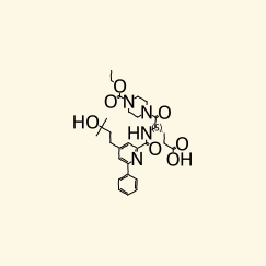 CCOC(=O)N1CCN(C(=O)[C@H](CCC(=O)O)NC(=O)c2cc(CCC(C)(C)O)cc(-c3ccccc3)n2)CC1